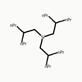 CCCC(CCC)C[Si](CC(CCC)CCC)CC(CCC)CCC